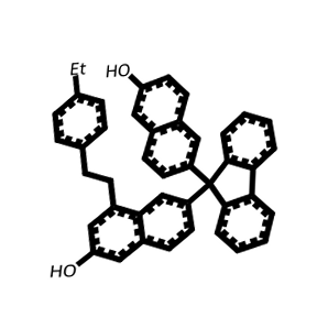 CCc1ccc(CCc2cc(O)cc3ccc(C4(c5ccc6cc(O)ccc6c5)c5ccccc5-c5ccccc54)cc23)cc1